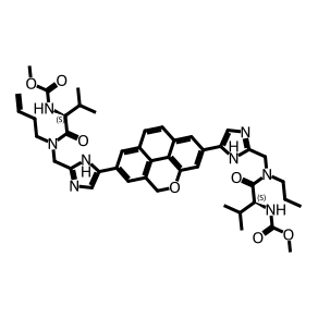 C=CCCN(Cc1ncc(-c2cc3c4c(ccc5cc(-c6cnc(CN(CCC)C(=O)[C@@H](NC(=O)OC)C(C)C)[nH]6)cc(c54)OC3)c2)[nH]1)C(=O)[C@@H](NC(=O)OC)C(C)C